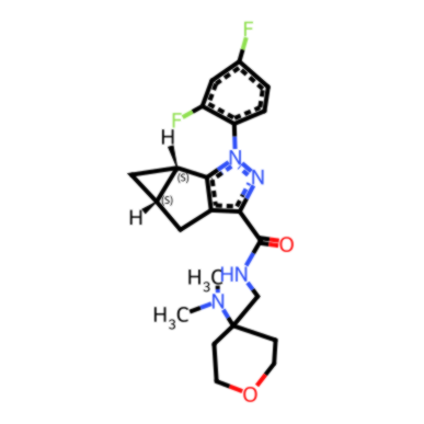 CN(C)C1(CNC(=O)c2nn(-c3ccc(F)cc3F)c3c2C[C@@H]2C[C@H]32)CCOCC1